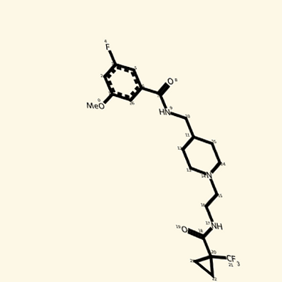 COc1cc(F)cc(C(=O)NCC2CCN(CCNC(=O)C3(C(F)(F)F)CC3)CC2)c1